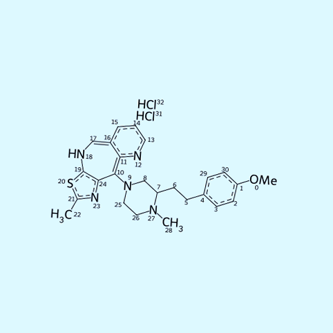 COc1ccc(CCC2CN(C3=c4ncccc4=CNc4sc(C)nc43)CCN2C)cc1.Cl.Cl